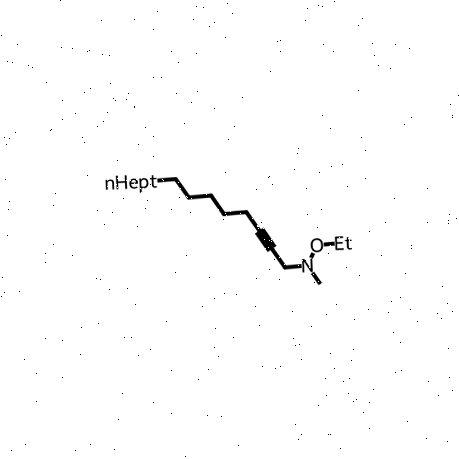 CCCCCCCCCCCCC#CCN(C)OCC